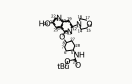 CC(C)(C)OC(=O)NC1CCC(Oc2nc(N3CCOCC3)cc3ncc(O)cc23)CC1